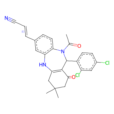 CC(=O)N1c2ccc(/C=C/C#N)cc2NC2=C(C(=O)CC(C)(C)C2)C1c1ccc(Cl)cc1Cl